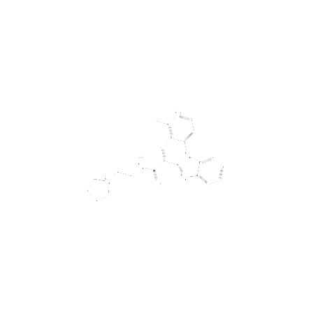 Cc1cc2c(cc(C(=O)NCCN3CCCC3)c3nc4ccccc4n32)c(C)n1